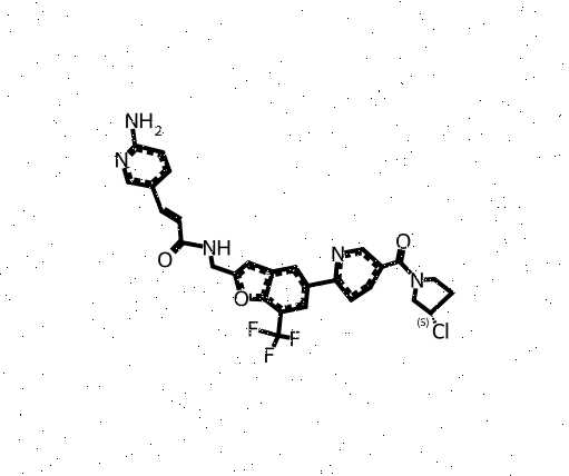 Nc1ccc(C=CC(=O)NCc2cc3cc(-c4ccc(C(=O)N5CC[C@H](Cl)C5)cn4)cc(C(F)(F)F)c3o2)cn1